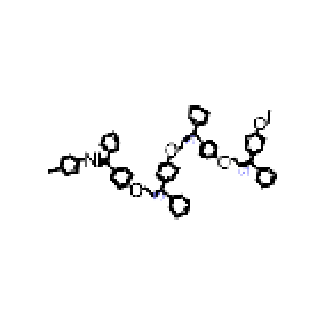 CCOc1ccc(/C(=C\COc2ccc(/C(=C\COc3ccc(/C(=C\COc4ccc(C(=CNc5ccc(C)cc5)c5ccccc5)cc4)c4ccccc4)cc3)c3ccccc3)cc2)c2ccccc2)cc1